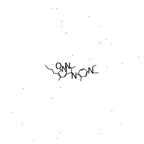 CCCCc1c(C)cc2n(c1=O)N=C(C)C2=Nc1ccc(N(CC)CC)cc1C